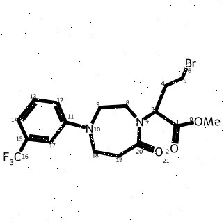 COC(=O)C(CCBr)N1CCN(c2cccc(C(F)(F)F)c2)CCC1=O